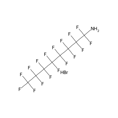 Br.NC(F)(F)C(F)(F)C(F)(F)C(F)(F)C(F)(F)C(F)(F)C(F)(F)C(F)(F)F